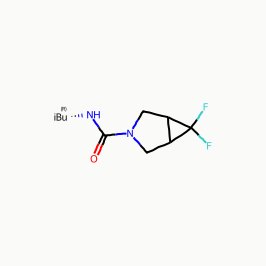 CC[C@@H](C)NC(=O)N1CC2C(C1)C2(F)F